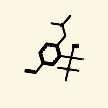 [CH2]C(O)(c1cc(C=C)ccc1CN(C)C)[Si](C)(C)C